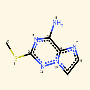 CSc1nc(N)c2nccn2n1